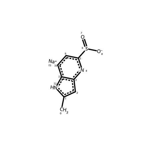 Cc1cc2nc(S(=O)[O-])ccc2[nH]1.[Na+]